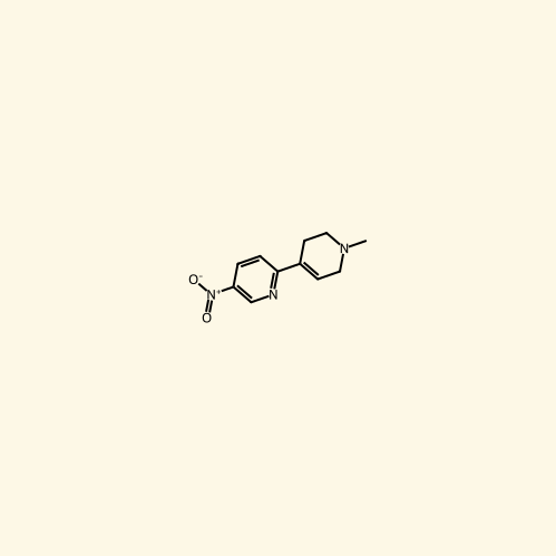 CN1CC=C(c2ccc([N+](=O)[O-])cn2)CC1